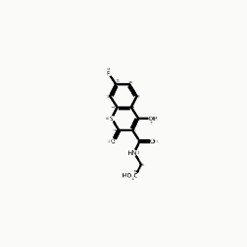 O=C(O)CNC(=O)c1c(O)c2ccc(F)cc2sc1=O